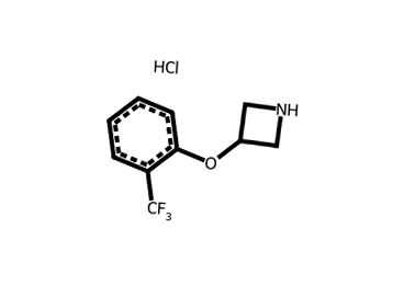 Cl.FC(F)(F)c1ccccc1OC1CNC1